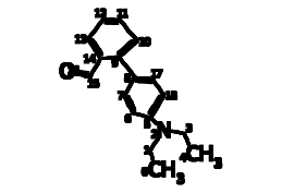 CCN(CC)c1ccc(-c2ccccc2C=O)cc1